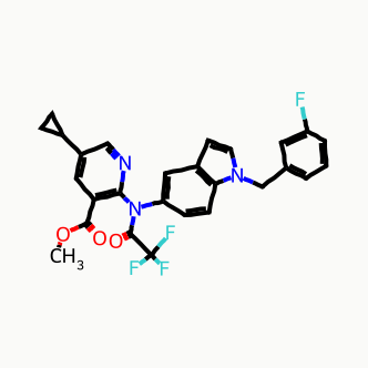 COC(=O)c1cc(C2CC2)cnc1N(C(=O)C(F)(F)F)c1ccc2c(ccn2Cc2cccc(F)c2)c1